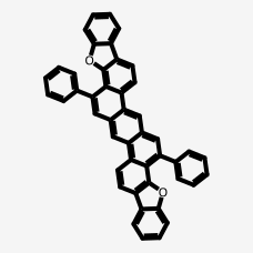 c1ccc(-c2cc3cc4c(cc(-c5ccccc5)c5c4ccc4c6ccccc6oc45)cc3c3ccc4c5ccccc5oc4c23)cc1